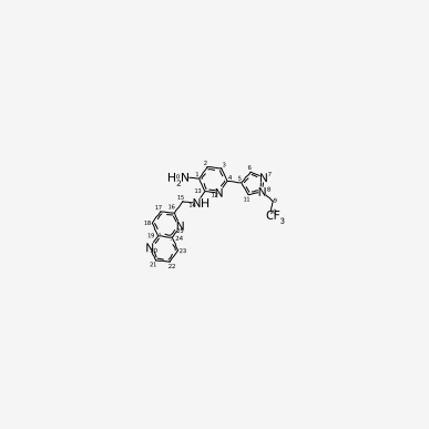 Nc1ccc(-c2cnn(CC(F)(F)F)c2)nc1NCc1ccc2ncccc2n1